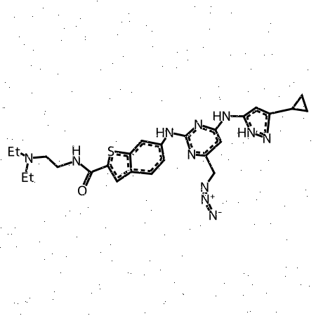 CCN(CC)CCNC(=O)c1cc2ccc(Nc3nc(CN=[N+]=[N-])cc(Nc4cc(C5CC5)n[nH]4)n3)cc2s1